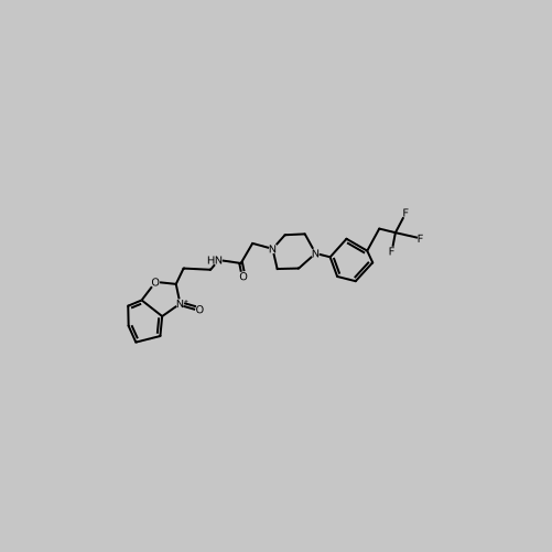 O=C(CN1CCN(c2cccc(CC(F)(F)F)c2)CC1)NCCC1Oc2ccccc2[N+]1=O